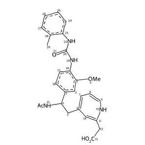 COc1cc(C(CC2=CC=CNC(CC(=O)O)=C2)NC(C)=O)ccc1NC(=O)Nc1ccccc1C